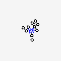 c1ccc(-c2ccc(-c3nc(-n4c5ccccc5c5cc6c(cc54)-c4ccccc4C64c5ccccc5-c5ccccc54)nc(-n4c5ccccc5c5c(-c6ccccc6)cccc54)n3)cc2)cc1